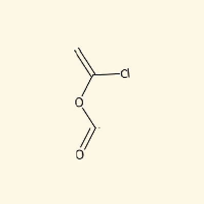 C=C(Cl)O[C]=O